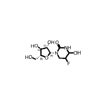 O=C1NC(O)C(F)CN1[C@@H]1O[C@H](CO)[C@@H](O)[C@@H]1O